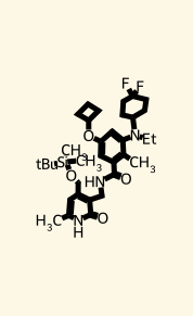 CCN(c1cc(OC2CCC2)cc(C(=O)NCc2c(CO[Si](C)(C)C(C)(C)C)cc(C)[nH]c2=O)c1C)C1CCC(F)(F)CC1